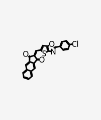 O=C1C(=Cc2cc3oc(-c4ccc(Cl)cc4)nc3s2)C(=O)c2cc3ccccc3cc21